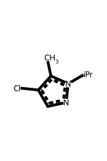 Cc1c(Cl)cnn1C(C)C